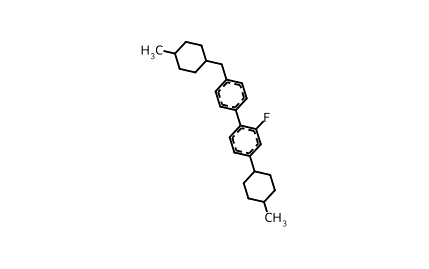 CC1CCC(Cc2ccc(-c3ccc(C4CCC(C)CC4)cc3F)cc2)CC1